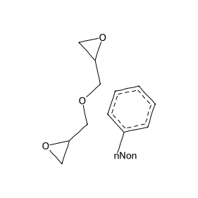 C(OCC1CO1)C1CO1.CCCCCCCCCc1ccccc1